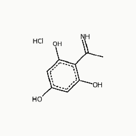 CC(=N)c1c(O)cc(O)cc1O.Cl